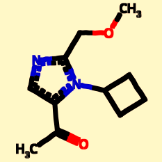 COCc1ncc(C(C)=O)n1C1CCC1